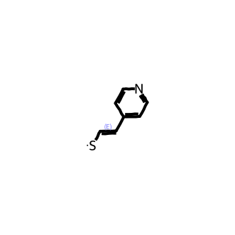 [S]/C=C/c1ccncc1